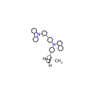 C[C@H]1C[C@H]2C[C@H]3CC(c4ccc(N(c5ccc(-c6cccc(-n7c8ccccc8c8ccccc87)c6)cc5)c5cccc6ccccc56)cc4)(CC23)C1